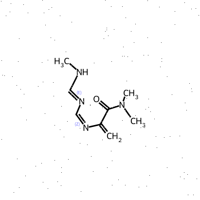 C=C(/N=C\N=C\NC)C(=O)N(C)C